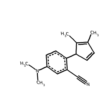 CC1=C(C)C(c2ccc(N(C)C)cc2C#N)C=C1